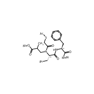 CNC(=O)[C@H](Cc1ccccc1)NC(=O)[C@H](CC(C)C)N(CC(C)C(=O)OC)C(=O)CSC(C)=O